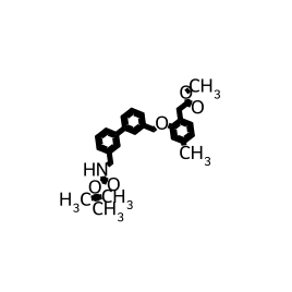 COC(=O)Cc1ccc(C)cc1OCc1cccc(-c2cccc(CNC(=O)OC(C)(C)C)c2)c1